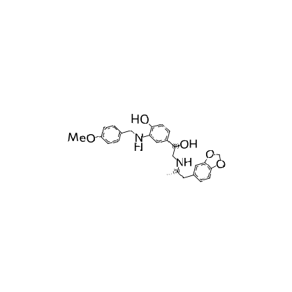 COc1ccc(CNc2cc([C@@H](O)CN[C@@H](C)Cc3ccc4c(c3)OCO4)ccc2O)cc1